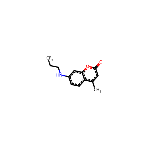 Cc1cc(=O)oc2cc(NCCC(F)(F)F)ccc12